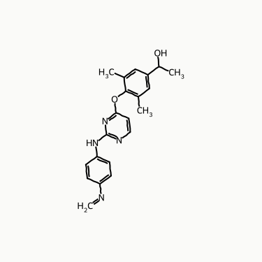 C=Nc1ccc(Nc2nccc(Oc3c(C)cc(C(C)O)cc3C)n2)cc1